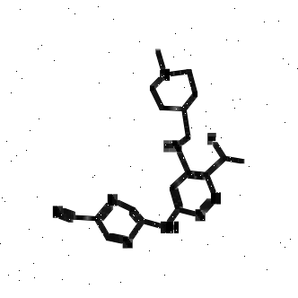 CC(F)c1nnc(Nc2cnc(C#N)cn2)cc1NCC1CCN(C)CC1